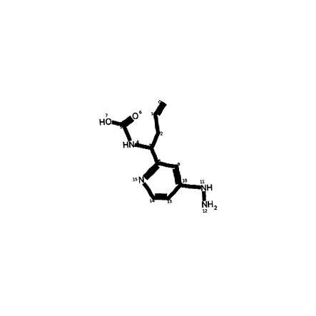 C=CCC(NC(=O)O)c1cc(NN)ccn1